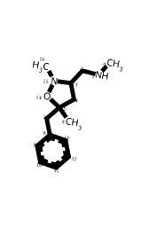 CNCC1CC(C)(Cc2ccccc2)ON1C